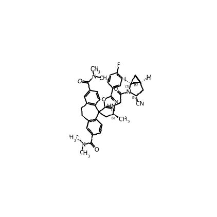 C[C@@H](CC1(c2nnc(-c3ccc(F)cc3)o2)c2ccc(C(=O)N(C)C)cc2CCc2cc(C(=O)N(C)C)ccc21)NCC(=O)N1[C@H](C#N)C[C@@H]2C[C@@H]21